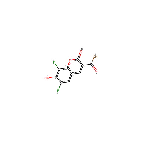 O=C(S)c1cc2cc(F)c(O)c(F)c2oc1=O